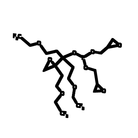 FC(F)(F)COCCC1(C(CCOCC(F)(F)F)(CCOCC(F)(F)F)OP(OCC2CO2)OCC2CO2)CO1